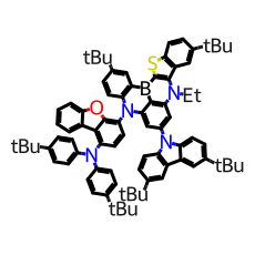 CCN1c2cc(-n3c4ccc(C(C)(C)C)cc4c4cc(C(C)(C)C)ccc43)cc3c2B(c2cc(C(C)(C)C)ccc2N3c2ccc(N(c3ccc(C(C)(C)C)cc3)c3ccc(C(C)(C)C)cc3)c3c2oc2ccccc23)c2sc3ccc(C(C)(C)C)cc3c21